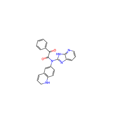 O=C(C(=O)N(c1ccc2c(c1)C=CCN2)c1nc2cccnc2[nH]1)c1ccccc1